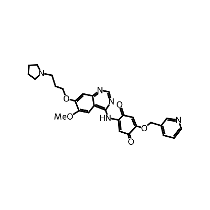 COc1cc2c(NC3=CC(=O)C(OCc4cccnc4)=CC3=O)ncnc2cc1OCCCN1CCCC1